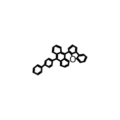 c1ccc(-c2ccc(-c3c4ccccc4c(-c4cccc5c4oc4ccccc45)c4ccccc34)cc2)cc1